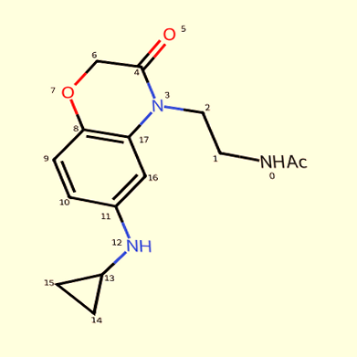 CC(=O)NCCN1C(=O)COc2ccc(NC3CC3)cc21